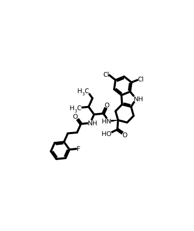 CCC(C)C(NC(=O)CCc1ccccc1F)C(=O)N[C@]1(C(=O)O)CCc2[nH]c3c(Cl)cc(Cl)cc3c2C1